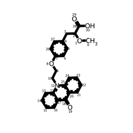 COC(Cc1ccc(OCCn2c3ccccc3c(=O)c3ccccc32)cc1)C(=O)O